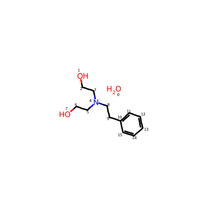 O.OCCN(CCO)CCc1ccccc1